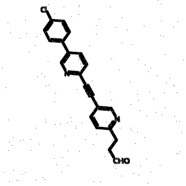 O=CCCc1ccc(C#Cc2ccc(-c3ccc(Cl)cc3)cn2)cn1